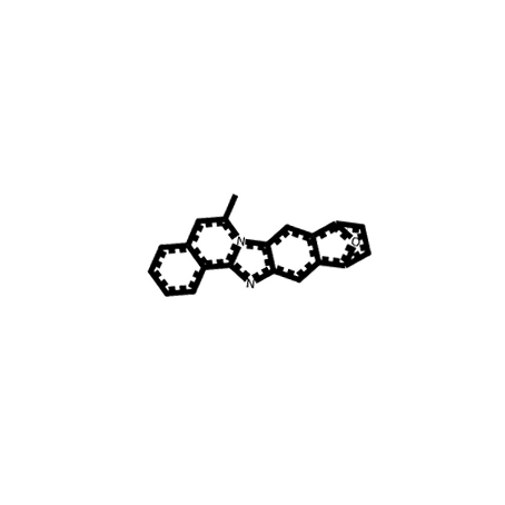 Cc1cc2ccccc2c2nc3cc4c5ccc(o5)c4cc3n12